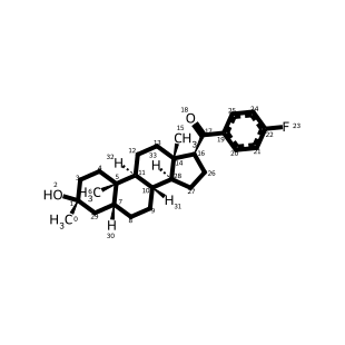 C[C@@]1(O)CC[C@@]2(C)[C@H](CC[C@@H]3[C@@H]2CC[C@]2(C)[C@@H](C(=O)c4ccc(F)cc4)CC[C@@H]32)C1